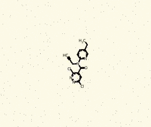 C#CCN(C(=O)c1cc(Cl)nnc1Cl)c1ccc(CC)cn1